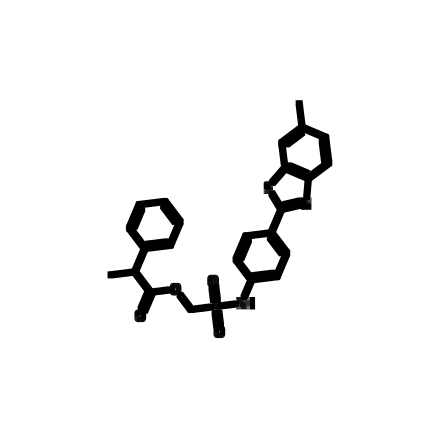 Cc1ccc2nc(-c3ccc(NS(=O)(=O)COC(=O)C(C)c4ccccc4)cc3)sc2c1